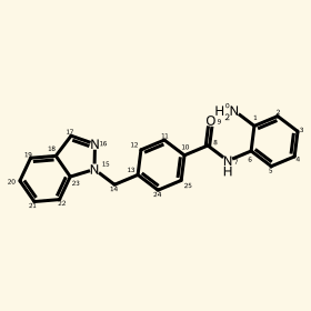 Nc1ccccc1NC(=O)c1ccc(Cn2ncc3ccccc32)cc1